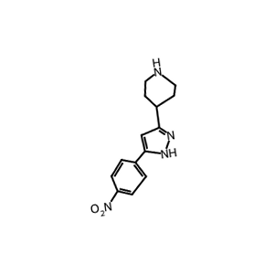 O=[N+]([O-])c1ccc(-c2cc(C3CCNCC3)n[nH]2)cc1